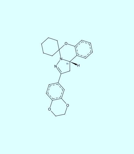 c1ccc2c(c1)OC1(CCCCC1)N1N=C(c3ccc4c(c3)OCCO4)C[C@@H]21